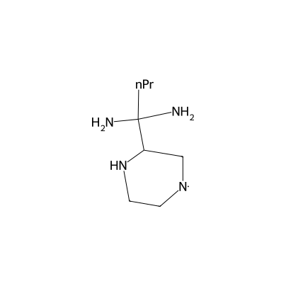 CCCC(N)(N)C1C[N]CCN1